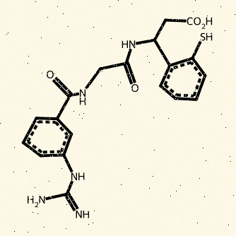 N=C(N)Nc1cccc(C(=O)NCC(=O)NC(CC(=O)O)c2ccccc2S)c1